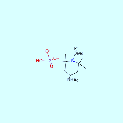 CON1C(C)(C)CC(NC(C)=O)CC1(C)C.O=P([O-])(O)O.[K+]